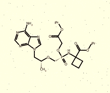 CC(C)OC(=O)CO[P@@](=O)(CO[C@H](C)Cn1cnc2c(N)ncnc21)NC1(C(=O)OC(C)C)CCC1